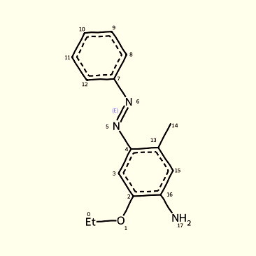 CCOc1cc(/N=N/c2ccccc2)c(C)cc1N